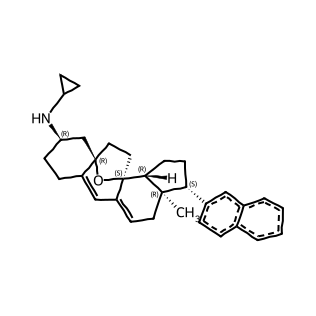 C[C@]12CC=C3C=C4CC[C@@H](NC5CC5)C[C@]45CC[C@]3(O5)[C@@H]1CC[C@@H]2c1ccc2ccccc2c1